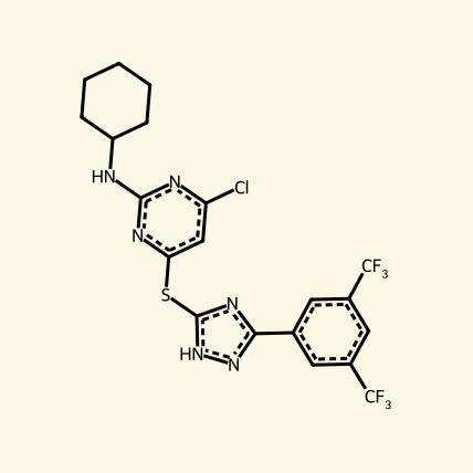 FC(F)(F)c1cc(-c2n[nH]c(Sc3cc(Cl)nc(NC4CCCCC4)n3)n2)cc(C(F)(F)F)c1